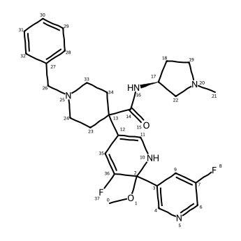 COC1(c2cncc(F)c2)NC=C(C2(C(=O)N[C@H]3CCN(C)C3)CCN(Cc3ccccc3)CC2)C=C1F